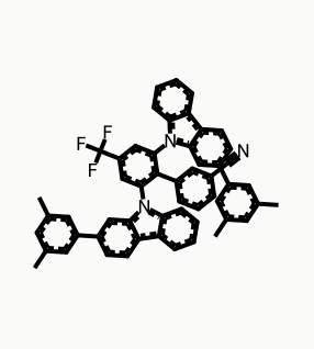 Cc1cc(C)cc(-c2ccc3c4ccccc4n(-c4cc(C(F)(F)F)cc(-n5c6ccccc6c6ccc(-c7cc(C)cc(C)c7)cc65)c4-c4cccc(C#N)c4)c3c2)c1